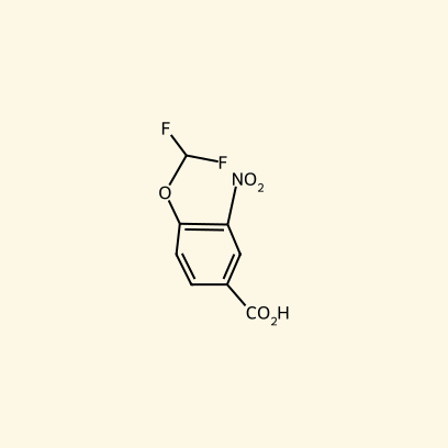 O=C(O)c1ccc(OC(F)F)c([N+](=O)[O-])c1